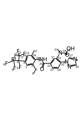 CCc1cc(C(F)(C(F)(F)F)C(F)(F)F)cc(C)c1NC(=O)c1ccc(-n2cncn2)c(N(C)C(=O)O)c1